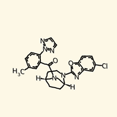 Cc1ccc(-n2nccn2)c(C(=O)N2C[C@H]3CC[C@@H]2CCN3c2nc3cc(Cl)ccc3o2)c1